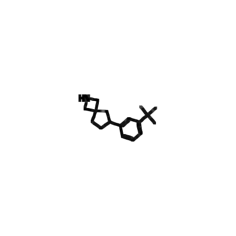 CC(C)(C)c1cccc(C2CCC3(CNC3)C2)c1